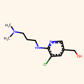 CN(C)CCCNc1ncc(CO)cc1Cl